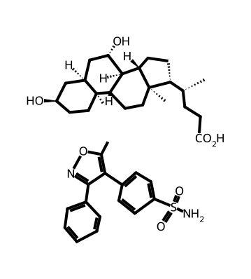 C[C@H](CCC(=O)O)[C@H]1CC[C@H]2[C@@H]3[C@@H](O)C[C@@H]4C[C@H](O)CC[C@]4(C)[C@H]3CC[C@]12C.Cc1onc(-c2ccccc2)c1-c1ccc(S(N)(=O)=O)cc1